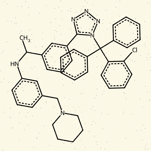 CC(Nc1cccc(CN2CCCCC2)c1)c1cccc(-c2nnnn2C(c2ccccc2)(c2ccccc2)c2ccccc2Cl)c1